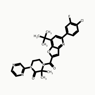 CC(C)(C)c1cc(-c2ccc(Cl)c(F)c2)nc2cc(C(=O)N3CCN(c4cnccn4)C(=O)C3(C)C)oc12